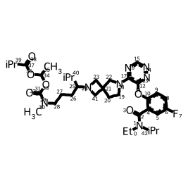 CCN(C(=O)c1cc(F)ccc1Oc1nncnc1N1CCC2(C1)CN(C(CCCN(C)C(=O)OC(C)OC(=O)C(C)C)C(C)C)C2)C(C)C